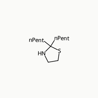 CCCCCC1(CCCCC)NCCS1